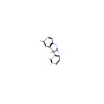 NC1=Nc2ccc(Cl)cc2C1(O)c1cccc(F)c1F